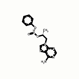 C[C@H](Cn1cnc2c(N)ncnc21)O[PH](=O)Oc1ccccc1